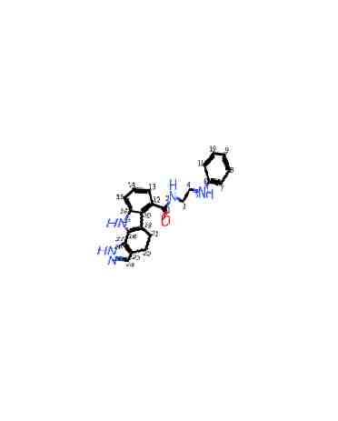 O=C(NCCNc1ccccc1)c1cccc2[nH]c3c(c12)CCc1cn[nH]c1-3